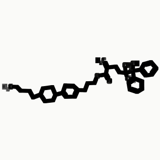 C=C(CCC(C)(C)[Si](O)(c1ccccc1)c1ccccc1)C(=O)OCCCc1ccc(C2CCC(CCCCC)CC2)cc1